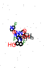 C#Cc1c(F)ccc2cc(O)cc(-c3nc(OC)c4c(N5CCOCC(C)(O)C5)nc(OC[C@@]56CCCN5C[C@H](F)C6)nc4c3F)c12